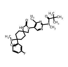 Cc1nc(N(C)C(=O)C(C)(C)C)ncc1N1CC2(CCC(c3cccc(F)c3)(N(C)C)CC2)NC1=O